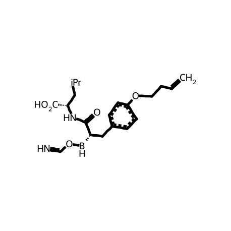 C=CCCOc1ccc(C[C@H](BOC=N)C(=O)N[C@@H](CC(C)C)C(=O)O)cc1